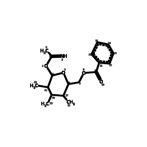 CC(=N)OC1OC(COC(=O)c2ccccc2)C(C)C(C)C1C